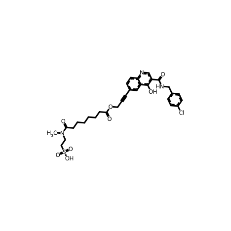 CN(CCS(=O)(=O)O)C(=O)CCCCCCC(=O)OCC#Cc1ccc2ncc(C(=O)NCc3ccc(Cl)cc3)c(O)c2c1